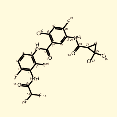 O=C(Nc1ccc(F)c(NC(=O)C(F)F)c1F)c1cc(NC(=O)C2CC2(Cl)Cl)c(F)cc1Cl